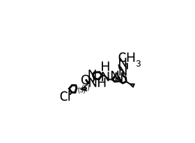 CN1CCN(c2cc(C3CC3)cc3cc(CNc4ccnc(NC(=O)[C@H]5C[C@@H]5c5cccc(Cl)c5)c4)nn23)CC1